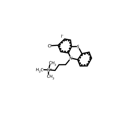 C[N+](C)(C)CCCN1c2ccccc2Sc2ccc(Cl)cc21.[I-]